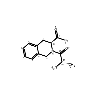 CC(C)C(=O)[C@@H]1Cc2ccccc2CN1C(=O)[C@H](C)N